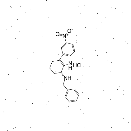 Cl.O=[N+]([O-])c1ccc2[nH]c3c(c2c1)CCCC3NCc1ccccc1